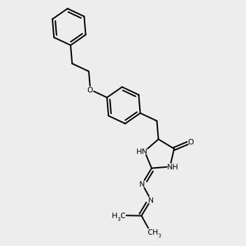 CC(C)=N/N=C1\NC(=O)C(Cc2ccc(OCCc3ccccc3)cc2)N1